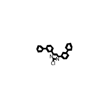 Clc1nc(-c2cccc(-c3ccccc3)c2)cc(-c2cccc(-c3ccccc3)c2)n1